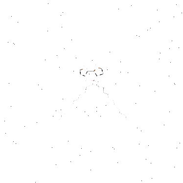 CCCCCCCCCCCCC1(CCCCCCCCCCCC)Oc2ccsc2-c2sccc21